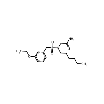 CCCCCCN(CC(N)=S)S(=O)(=O)Cc1cccc(OCC)c1